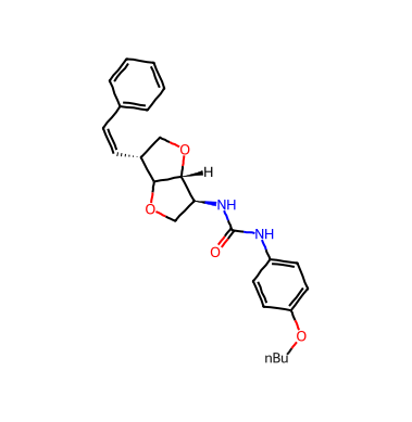 CCCCOc1ccc(NC(=O)N[C@H]2COC3[C@H](/C=C\c4ccccc4)CO[C@@H]32)cc1